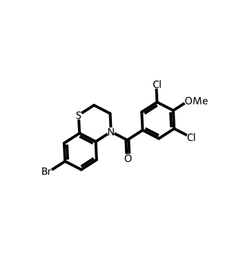 COc1c(Cl)cc(C(=O)N2CCSc3cc(Br)ccc32)cc1Cl